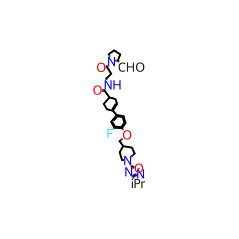 CC(C)c1noc(N2CCC(COc3ccc(C4=CCC(C(=O)NCCC(=O)N5CCCC5C=O)CC4)cc3F)CC2)n1